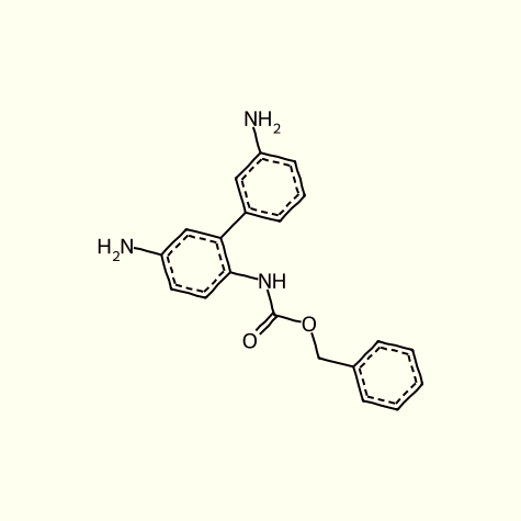 Nc1cccc(-c2cc(N)ccc2NC(=O)OCc2ccccc2)c1